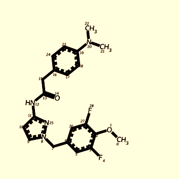 COc1c(F)cc(Cn2ccc(NC(=O)Cc3ccc(N(C)C)cc3)n2)cc1F